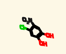 O=[N+]([O-])c1cc(O)c(O)cc1Cl